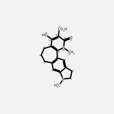 CN1CCc2cc3c(cc21)CCCc1c(O)c(C(=O)O)c(=O)n(C)c1-3